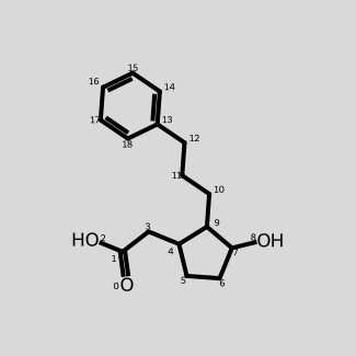 O=C(O)CC1CCC(O)C1CCCc1ccccc1